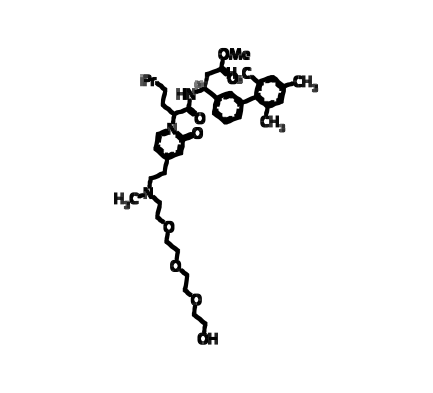 COC(=O)C[C@H](NC(=O)C(CCC(C)C)n1ccc(CCN(C)CCOCCOCCOCCO)cc1=O)c1cccc(-c2c(C)cc(C)cc2C)c1